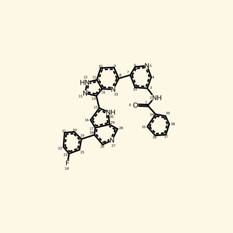 O=C(Nc1cncc(-c2ccc3[nH]nc(-c4cc5c(-c6cccc(F)c6)cncc5[nH]4)c3n2)c1)c1ccccc1